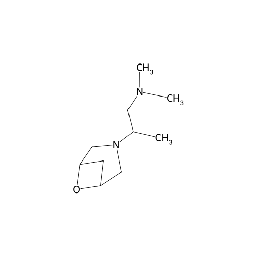 CC(CN(C)C)N1CC2CC(C1)O2